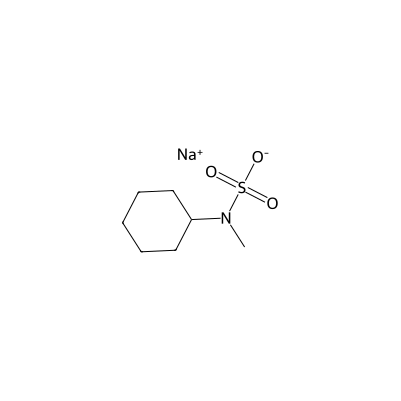 CN(C1CCCCC1)S(=O)(=O)[O-].[Na+]